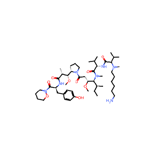 CC[C@H](C)[C@@H]([C@@H](CC(=O)N1CCC[C@H]1[C@H](OC)[C@@H](C)C(=O)N[C@@H](Cc1ccc(O)cc1)C(=O)N1CCCCO1)OC)N(C)C(=O)[C@@H](NC(=O)C(C(C)C)N(C)CCCCCCN)C(C)C